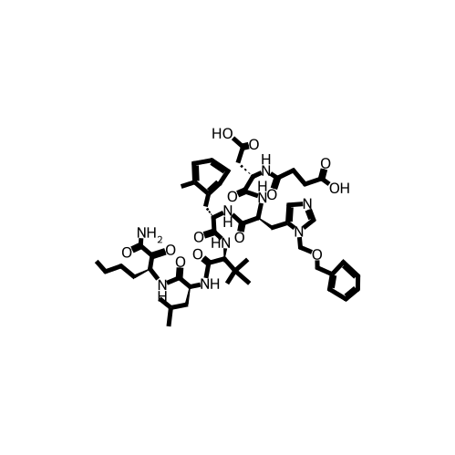 CCCC[C@H](NC(=O)[C@H](CC(C)C)NC(=O)[C@@H](NC(=O)[C@H](Cc1ccccc1C)NC(=O)[C@H](Cc1cncn1COCc1ccccc1)NC(=O)[C@H](CC(=O)O)NC(=O)CCC(=O)O)C(C)(C)C)C(=O)C(N)=O